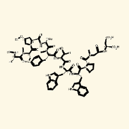 CCN[C@@H](CC)C(=O)N(C)[C@@H](CO)C(=O)N1C[C@H](OCC)C[C@H]1C(=O)N[C@H](C(=O)N(C)[C@@H](Cc1ccccc1)C(=O)N[C@H](C(=O)N[C@@H](Cc1c[nH]c2ccccc12)C(=O)N[C@@H](Cc1c[nH]c2ccccc12)C(=O)N1CCC[C@H]1C(=O)N(C)CC(=O)N[C@@H](CC(=O)O)C(=O)O)C(O)Cl)[C@@H](C)CC